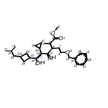 COC(=O)C(C)C(CCOCc1ccccc1)C(=N)/C(=C(\O)C1CC(CC(C)C)C1)C1CC1